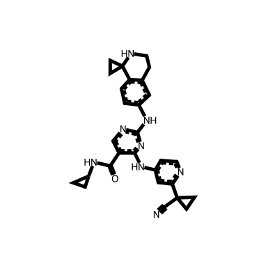 N#CC1(c2cc(Nc3nc(Nc4ccc5c(c4)CCNC54CC4)ncc3C(=O)NC3CC3)ccn2)CC1